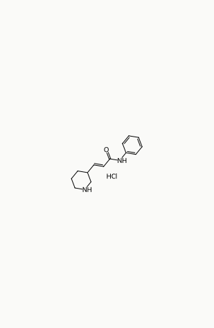 Cl.O=C(C=CC1CCCNC1)Nc1ccccc1